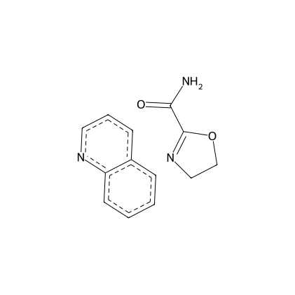 NC(=O)C1=NCCO1.c1ccc2ncccc2c1